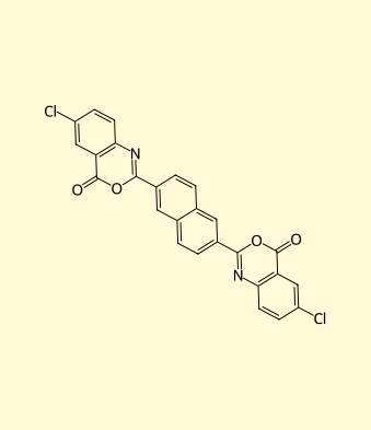 O=c1oc(-c2ccc3cc(-c4nc5ccc(Cl)cc5c(=O)o4)ccc3c2)nc2ccc(Cl)cc12